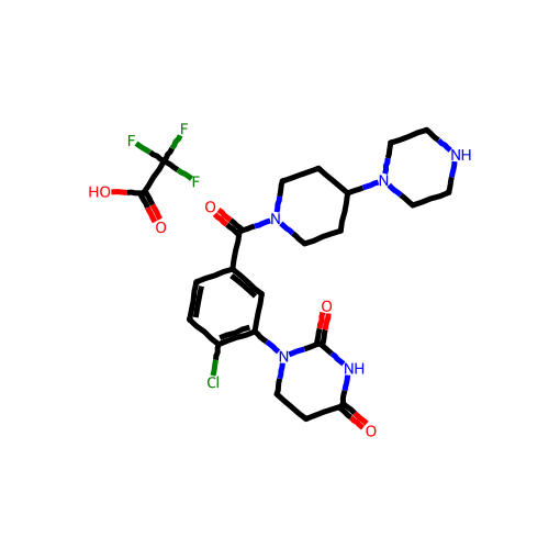 O=C(O)C(F)(F)F.O=C1CCN(c2cc(C(=O)N3CCC(N4CCNCC4)CC3)ccc2Cl)C(=O)N1